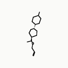 C=CCOC(C)[C@H]1CC[C@H](C2CCC(C)CC2)CC1